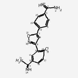 N=C(N)c1ccc(-c2cc(-c3cc(C(=N)N)ccc3Cl)no2)cc1